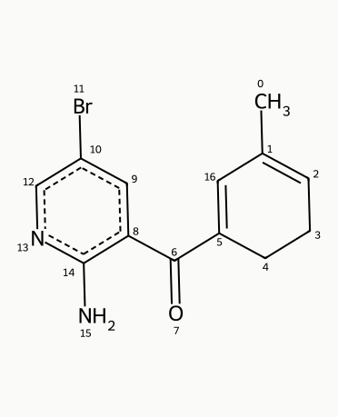 CC1=CCCC(C(=O)c2cc(Br)cnc2N)=C1